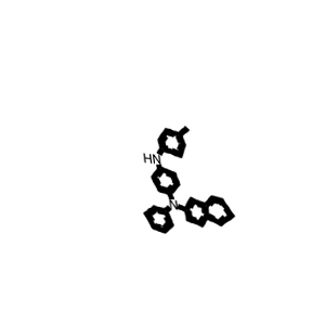 Cc1ccc(Nc2ccc(N(c3ccccc3)c3ccc4ccccc4c3)cc2)cc1